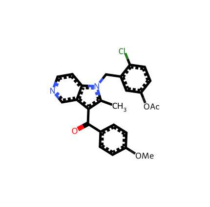 COc1ccc(C(=O)c2c(C)n(Cc3cc(OC(C)=O)ccc3Cl)c3ccncc23)cc1